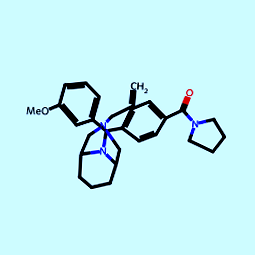 C=CCN1CC2CCCC(C1)N2C(c1ccc(C(=O)N2CCCC2)cc1)c1cccc(OC)c1